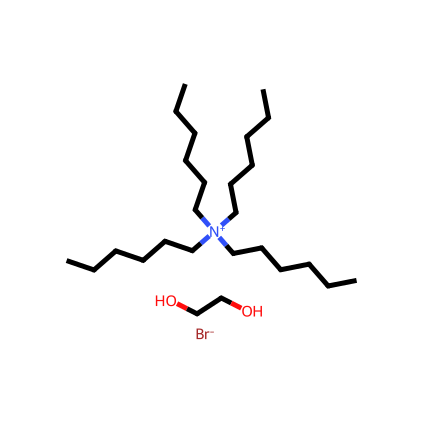 CCCCCC[N+](CCCCCC)(CCCCCC)CCCCCC.OCCO.[Br-]